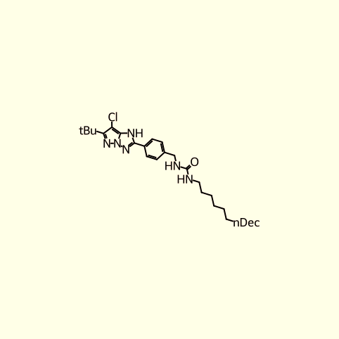 CCCCCCCCCCCCCCCCNC(=O)NCc1ccc(-c2nn3nc(C(C)(C)C)c(Cl)c3[nH]2)cc1